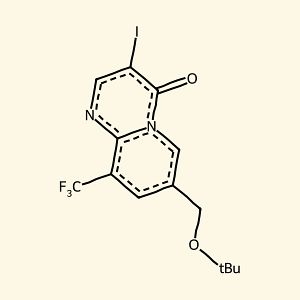 CC(C)(C)OCc1cc(C(F)(F)F)c2ncc(I)c(=O)n2c1